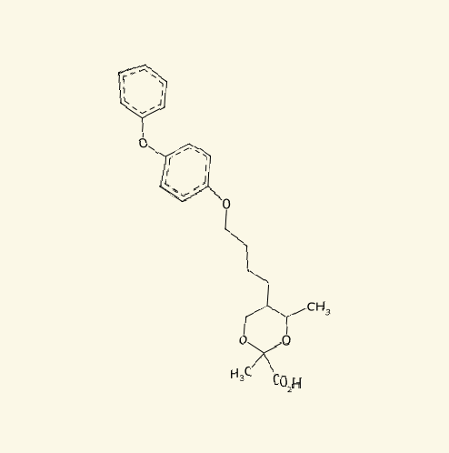 CC1OC(C)(C(=O)O)OCC1CCCCOc1ccc(Oc2ccccc2)cc1